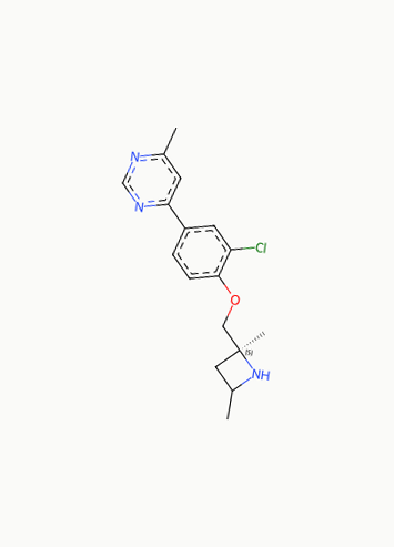 Cc1cc(-c2ccc(OC[C@]3(C)CC(C)N3)c(Cl)c2)ncn1